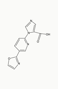 O=C(O)c1cncn1-c1ccc(-c2ncco2)cn1